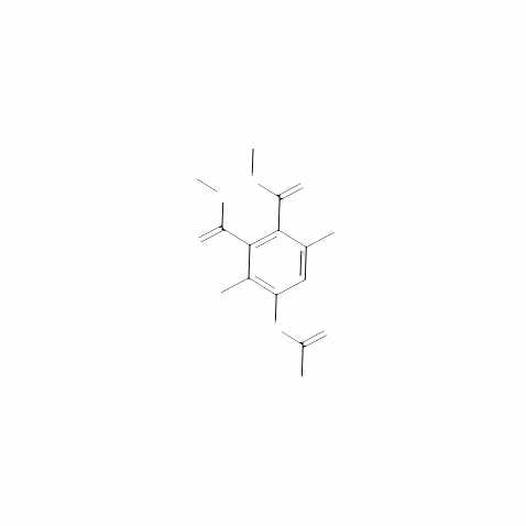 COC(=O)c1c(C)cc(OC(C)=O)c(C)c1C(=O)OC